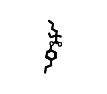 CCCCC(C)(CC)C(=O)Oc1ccc(CCC)cc1